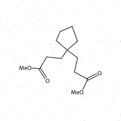 COC(=O)CCC1(CCC(=O)OC)CCCC1